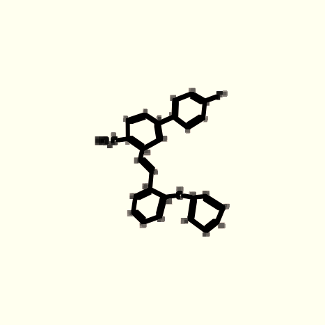 O=C(O)c1ccc(-c2ccc(F)cc2)cc1/C=C/c1ccccc1Cc1ccccc1